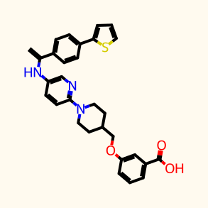 C=C(Nc1ccc(N2CCC(COc3cccc(C(=O)O)c3)CC2)nc1)c1ccc(-c2cccs2)cc1